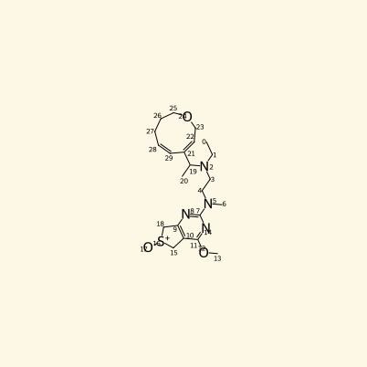 CCN(CCN(C)c1nc2c(c(OC)n1)C[S+]([O-])C2)C(C)C1=C/COCCC/C=C\1